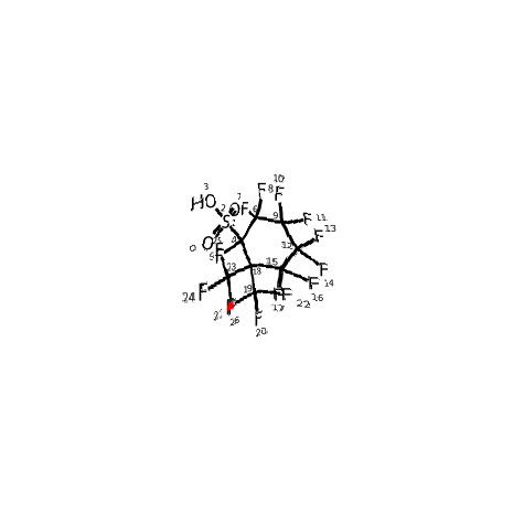 O=S(=O)(O)C1(F)C(F)(F)C(F)(F)C(F)(F)C(F)(F)C1(C(F)(F)F)C(F)(F)F